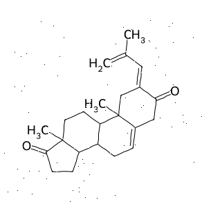 C=C(C)/C=C1\CC2(C)C(=CCC3C4CCC(=O)C4(C)CCC32)CC1=O